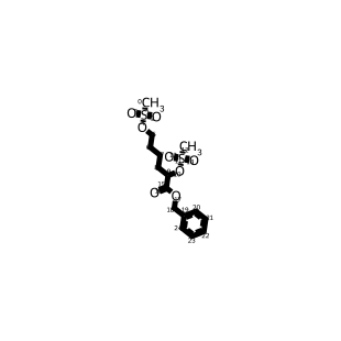 CS(=O)(=O)OCCCCC(OS(C)(=O)=O)C(=O)OCc1ccccc1